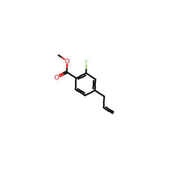 C=CCc1ccc(C(=O)OC)c(F)c1